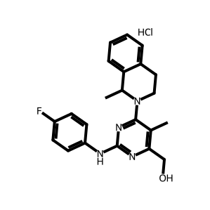 Cc1c(CO)nc(Nc2ccc(F)cc2)nc1N1CCc2ccccc2C1C.Cl